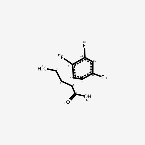 CCCCC(=O)O.Fc1ccc(F)c(F)c1